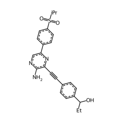 CCC(O)c1ccc(C#Cc2nc(-c3ccc(S(=O)(=O)C(C)C)cc3)cnc2N)cc1